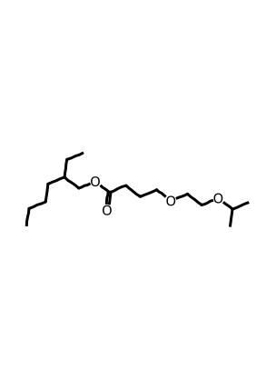 CCCCC(CC)COC(=O)CCCOCCOC(C)C